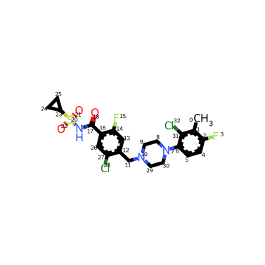 Cc1c(F)ccc(N2CCN(Cc3cc(F)c(C(=O)NS(=O)(=O)C4CC4)cc3Cl)CC2)c1Cl